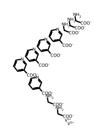 NCC(=O)[O-].NCC(=O)[O-].NCC(=O)[O-].NCC(=O)[O-].NCC(=O)[O-].O=C([O-])c1cccnc1.O=C([O-])c1cccnc1.O=C([O-])c1cccnc1.O=C([O-])c1cccnc1.O=C([O-])c1cccnc1.[V+5].[V+5]